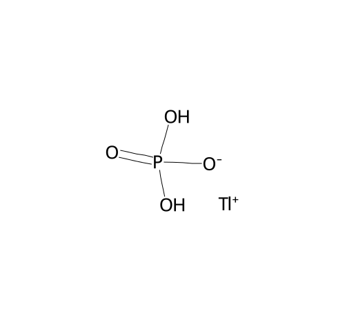 O=P([O-])(O)O.[Tl+]